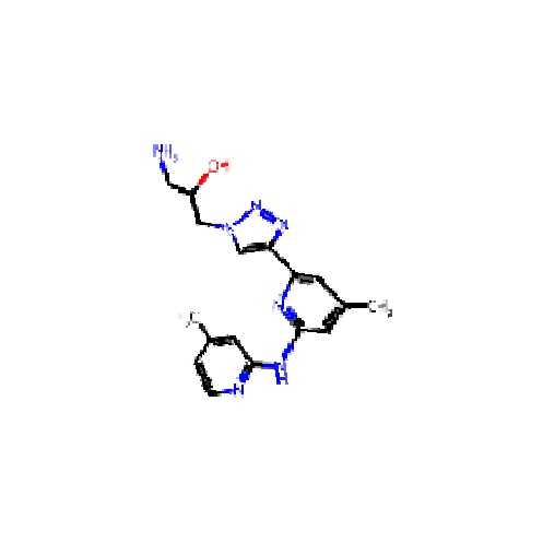 Cc1cc(Nc2cc(C(F)(F)F)ccn2)nc(-c2cn(CC(O)CN)nn2)c1